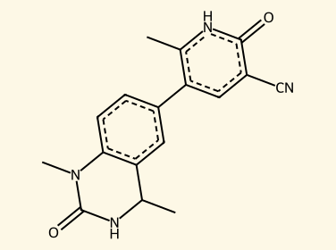 Cc1[nH]c(=O)c(C#N)cc1-c1ccc2c(c1)C(C)NC(=O)N2C